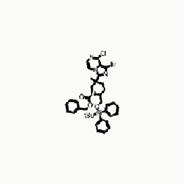 CC1(c2nc(Br)c3c(Cl)nccn23)CCC(CO[Si](c2ccccc2)(c2ccccc2)C(C)(C)C)N(C(=O)OCc2ccccc2)C1